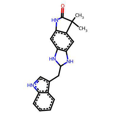 CC1(C)C(=O)Nc2cc3c(cc21)NC(Cc1c[nH]c2ccccc12)N3